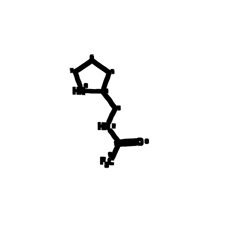 O=C(NCC1CCCN1)C(F)(F)F